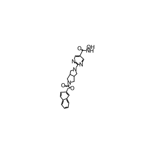 O=C(NO)c1cnc(N2CC3CN(S(=O)(=O)c4ccc5ccccc5c4)CC3C2)nc1